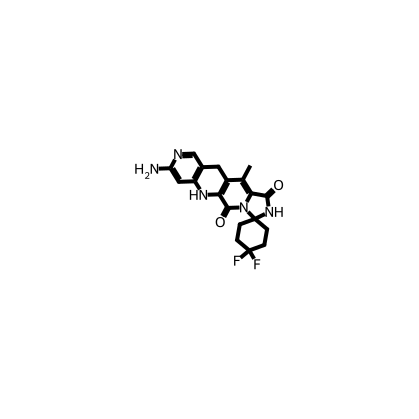 Cc1c2c(c(=O)n3c1C(=O)NC31CCC(F)(F)CC1)Nc1cc(N)ncc1C2